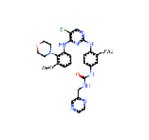 COc1cc(NC(=O)NCc2cnccn2)ccc1Nc1ncc(Cl)c(Nc2cccc(OC)c2N2CCOCC2)n1